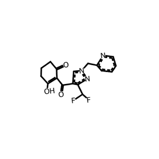 O=C1CCCC(O)=C1C(=O)c1cn(Cc2ccccn2)nc1C(F)F